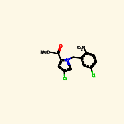 COC(=O)c1cc(Cl)cn1Cc1cc(Cl)ccc1[N+](=O)[O-]